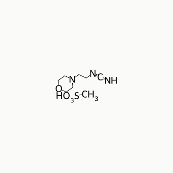 CS(=O)(=O)O.N=C=NCCN1CCOCC1